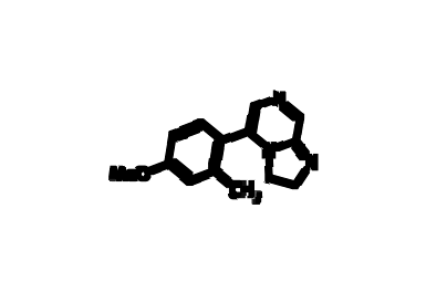 COc1ccc(C2=CN=CC3=NCCN23)c(C)c1